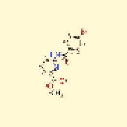 COC(=O)c1cccc(NC(=O)c2ccc(Br)cc2)n1